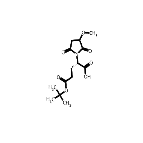 COC1CC(=O)N([C@@H](CCC(=O)OC(C)(C)C)C(=O)O)C1=O